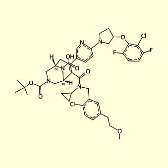 COCCc1ccc(Cl)c(CN(C(=O)C2=C(c3ccc(N4CCC(Oc5c(F)ccc(F)c5Cl)C4)nc3)C[C@H]3CN(C(=O)OC(C)(C)C)C[C@@H]2N3C(=O)O)C2CC2)c1